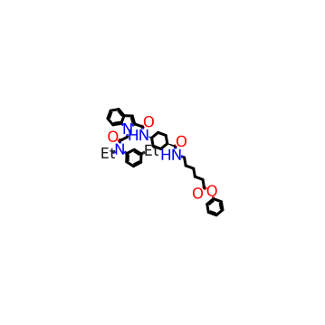 CCc1cccc(N(CC)C(=O)Cn2c(C(=O)N[C@H]3CC[C@H](C(=O)NCCCCCC(=O)Oc4ccccc4)CC3)cc3ccccc32)c1